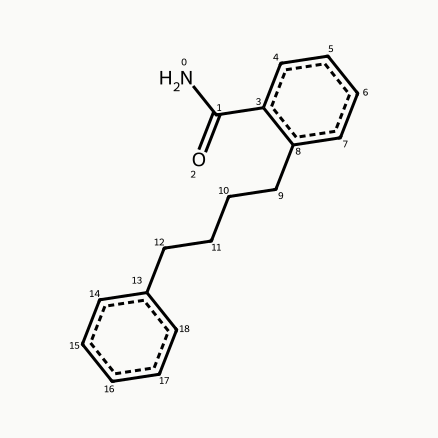 NC(=O)c1ccccc1CCCCc1ccccc1